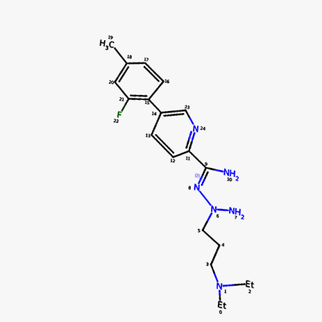 CCN(CC)CCCN(N)/N=C(\N)c1ccc(-c2ccc(C)cc2F)cn1